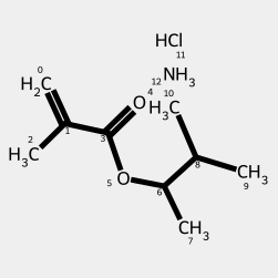 C=C(C)C(=O)OC(C)C(C)C.Cl.N